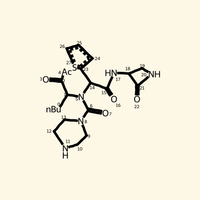 CCCCC(C(=O)C(C)=O)N(C(=O)N1CCNCC1)C(C(=O)NC1CNC1=O)c1cccs1